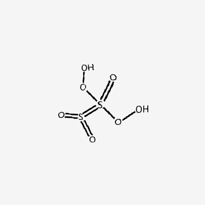 O=S(=O)=S(=O)(OO)OO